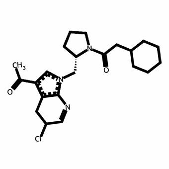 CC(=O)c1cn(C[C@@H]2CCCN2C(=O)CC2CCCCC2)c2c1CC(Cl)C=N2